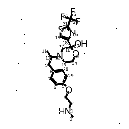 CNCCOc1ccc(CC(C)N2CCOC(O)(c3csc(C(F)(F)F)n3)C2)cc1